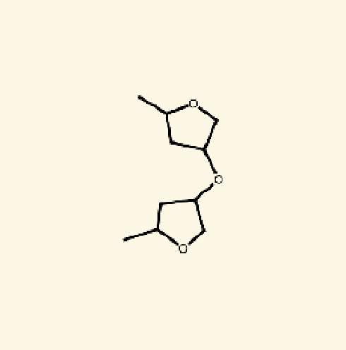 CC1CC(OC2COC(C)C2)CO1